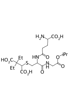 CCC(CC)(C(=O)O)C(SCC(NC(=O)CCC(N)C(=O)O)C(=O)NCC(=O)OC(C)C)C(=O)O